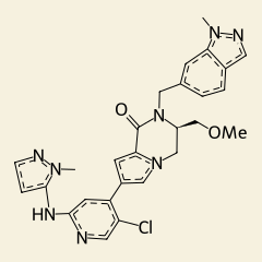 COC[C@H]1Cn2cc(-c3cc(Nc4ccnn4C)ncc3Cl)cc2C(=O)N1Cc1ccc2cnn(C)c2c1